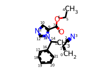 C=CC#N.CCOC(=O)c1cncn1C(C)c1ccccc1